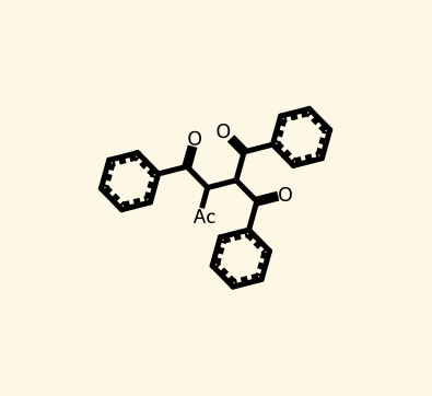 CC(=O)C(C(=O)c1ccccc1)C(C(=O)c1ccccc1)C(=O)c1ccccc1